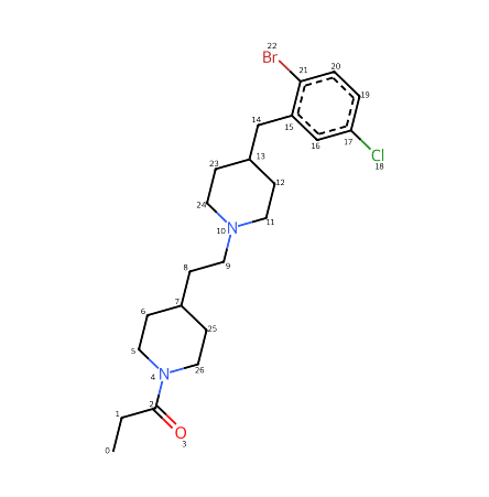 CCC(=O)N1CCC(CCN2CCC(Cc3cc(Cl)ccc3Br)CC2)CC1